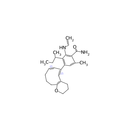 C=CNc1c(C(N)=O)c(C)cc(C2=C\C3=C(CCC/C=C\2)OCCC3)c1C(C)CC